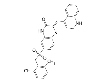 Cc1cccc(Cl)c1CS(=O)(=O)c1ccc2c(c1)NC(=O)/C(=C/C1=CCNc3ccccc31)S2